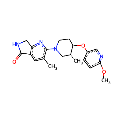 COc1ccc(O[C@@H]2CCN(c3nc4c(cc3C)C(=O)NC4)C[C@H]2C)cn1